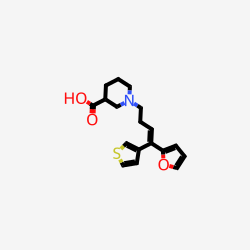 O=C(O)C1CCCN(CC/C=C(\c2ccsc2)c2ccco2)C1